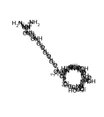 CCCC[C@H](NC(=O)CCOCCOCCOCCOCCOCCOCCNC(=O)CN1CCN(C(=O)C(CNCCN)CNCCN)CC1)C(=O)N[C@H]1CSCc2cccc(c2)CSC[C@@H](C(=O)O)NC(=O)[C@H](Cc2ccccc2)NC(=O)[C@H](CCC(=O)O)NC(=O)[C@H]([C@@H](C)O)NC(=O)[C@@H]2CCCN2C(=O)[C@@H]2CCCN2C1=O